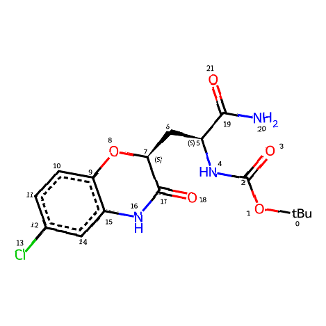 CC(C)(C)OC(=O)N[C@@H](C[C@@H]1Oc2ccc(Cl)cc2NC1=O)C(N)=O